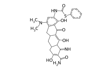 CN(C)c1cc(NC(=O)Sc2ccccc2)c(O)c2c1CC1CC3CC(O)=C(C(N)=O)C(=N)C3C(O)=C1C2=O